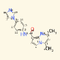 Cc1cc(C)n2ccc(C(=O)Nc3ccc(-n4ccnc4)cc3)c2n1